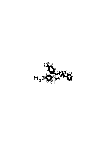 Cc1ccc(N2CCN(C(=O)Cc3ccccc3C)CC2c2ccc(Cl)cc2)c(Cl)c1